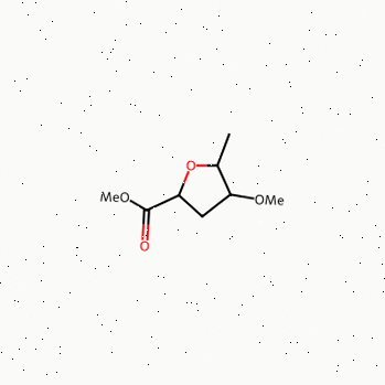 COC(=O)C1CC(OC)C(C)O1